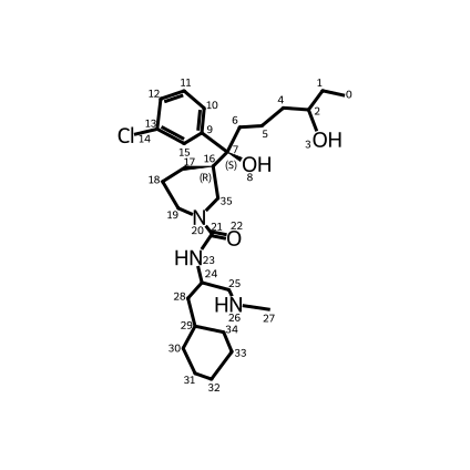 CCC(O)CCC[C@@](O)(c1cccc(Cl)c1)[C@@H]1CCCN(C(=O)NC(CNC)CC2CCCCC2)C1